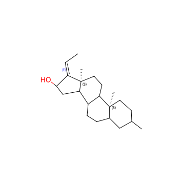 C/C=C1/C(O)CC2C3CCC4CC(C)CC[C@]4(C)C3CC[C@]12C